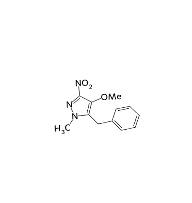 COc1c([N+](=O)[O-])nn(C)c1Cc1ccccc1